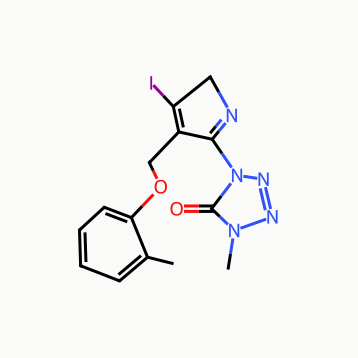 Cc1ccccc1OCC1=C(I)CN=C1n1nnn(C)c1=O